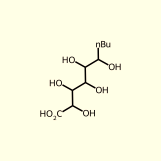 CCCCC(O)C(O)C(O)C(O)C(O)C(=O)O